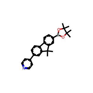 CC1(C)c2cc(B3OC(C)(C)C(C)(C)O3)ccc2-c2ccc(-c3ccncc3)cc21